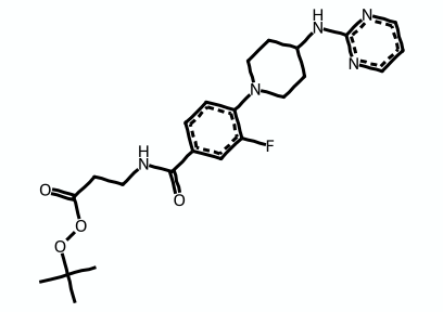 CC(C)(C)OOC(=O)CCNC(=O)c1ccc(N2CCC(Nc3ncccn3)CC2)c(F)c1